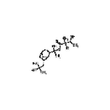 CCC(C)(C(=O)OC(C)(C)C1CC2CC(CC(C)(O)C(F)(F)F)C1C2)C(C)O